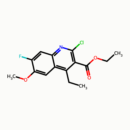 CCOC(=O)c1c(Cl)nc2cc(F)c(OC)cc2c1CC